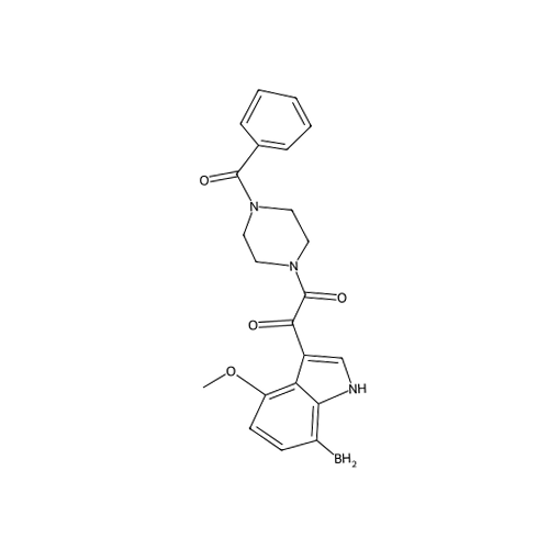 Bc1ccc(OC)c2c(C(=O)C(=O)N3CCN(C(=O)c4ccccc4)CC3)c[nH]c12